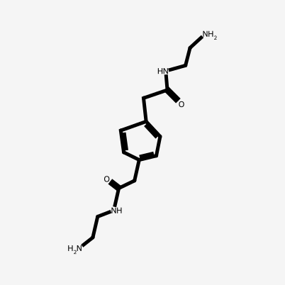 NCCNC(=O)Cc1ccc(CC(=O)NCCN)cc1